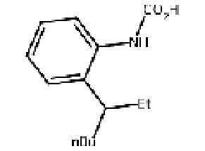 CCCCC(CC)c1ccccc1NC(=O)O